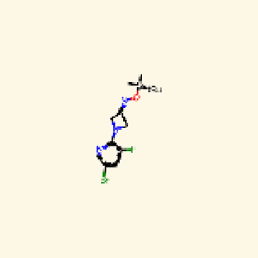 CC(C)(C)[Si](C)(C)ON=C1CN(c2ncc(Br)cc2F)C1